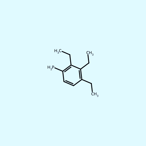 CCc1ccc(P)c(CC)c1CC